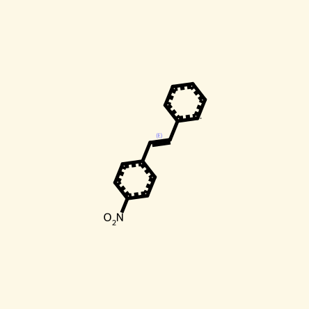 O=[N+]([O-])c1ccc(/C=C/c2[c]cccc2)cc1